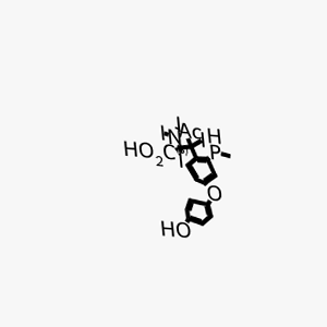 CPc1cc(Oc2ccc(O)cc2)ccc1C(I)(C(C)=O)[C@@](I)(C(=O)O)N(I)I